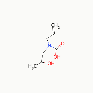 C=CCN(CC(C)O)C(=O)O